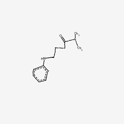 CN(C)C(=O)CCCNc1[c]cccc1